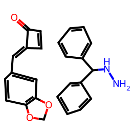 NNC(c1ccccc1)c1ccccc1.O=C1C=CC1=Cc1ccc2c(c1)OCO2